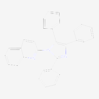 c1ccc(-c2nc(-c3ccccc3)n(-c3ccc4ccccc4n3)c2-c2ccccc2)cc1